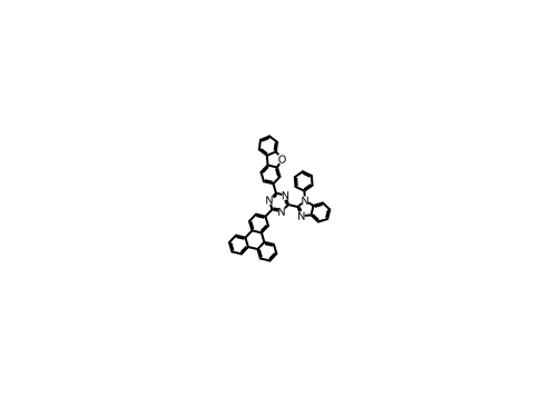 c1ccc(-n2c(-c3nc(-c4ccc5c(c4)oc4ccccc45)nc(-c4ccc5c6ccccc6c6ccccc6c5c4)n3)nc3ccccc32)cc1